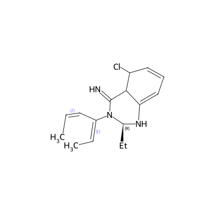 C/C=C\C(=C/C)N1C(=N)C2C(=CC=CC2Cl)N[C@H]1CC